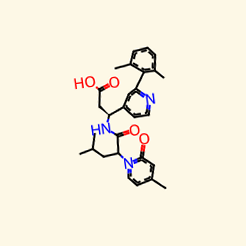 Cc1ccn(C(CC(C)C)C(=O)N[C@@H](CC(=O)O)c2ccnc(-c3c(C)cccc3C)c2)c(=O)c1